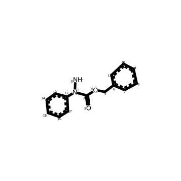 [NH]N(C(=O)OCc1ccccc1)c1ccccc1